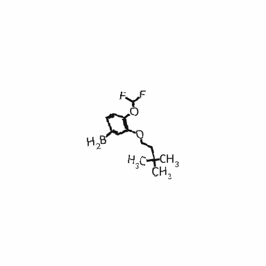 Bc1ccc(OC(F)F)c(OCCC(C)(C)C)c1